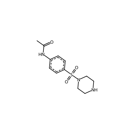 CC(=O)Nc1ccc(S(=O)(=O)N2CCNCC2)cc1